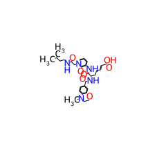 CC(C)CCNC(=O)Cn1cccc(NC(=O)C(CCC=CC(=O)O)NC(=O)c2ccc3c(c2)OCCN3C)c1=O